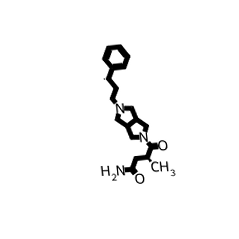 C[C@@H](CC(N)=O)C(=O)N1CC2CN(CC[CH]c3ccccc3)CC2C1